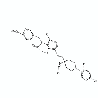 COc1ccc(CN2C(=O)CCc3c(OCC4(N=C=O)CCN(c5ccc(C(F)(F)F)cc5F)CC4)ccc(F)c32)cc1